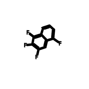 Fc1cc2c(F)cc[c]c2c(F)c1F